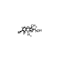 Cc1nn(CCO)c(C)c1Oc1ccc(C#N)c(F)c1